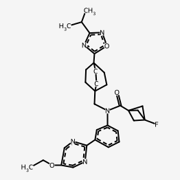 CCOc1cnc(-c2cccc(N(CC34CCC(c5nc(C(C)C)no5)(CC3)CC4)C(=O)C34CC(F)(C3)C4)c2)nc1